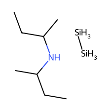 CCC(C)NC(C)CC.[SiH3][SiH3]